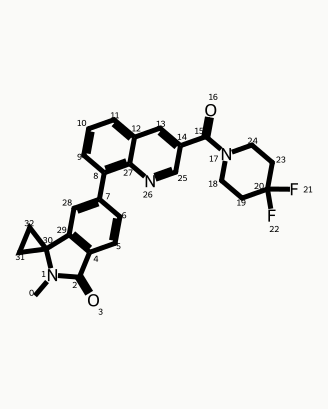 CN1C(=O)c2ccc(-c3cccc4cc(C(=O)N5CCC(F)(F)CC5)cnc34)cc2C12CC2